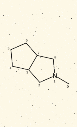 CN1CC2CCCC2C1